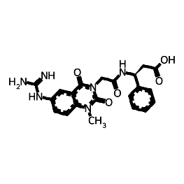 Cn1c(=O)n(CC(=O)N[C@@H](CC(=O)O)c2ccccc2)c(=O)c2cc(NC(=N)N)ccc21